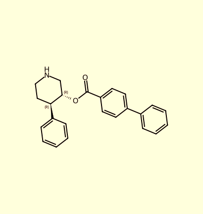 O=C(O[C@H]1CNCC[C@@H]1c1ccccc1)c1ccc(-c2ccccc2)cc1